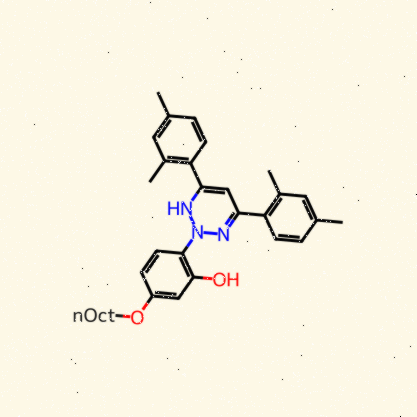 CCCCCCCCOc1ccc(N2N=C(c3ccc(C)cc3C)C=C(c3ccc(C)cc3C)N2)c(O)c1